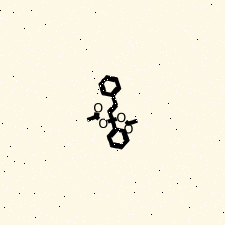 CC(=O)OC(C=Cc1ccccc1)(OC(C)=O)c1ccccc1